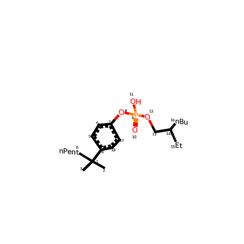 CCCCCC(C)(C)c1ccc(OP(=O)(O)OCC(CC)CCCC)cc1